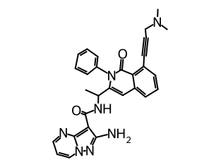 CC(NC(=O)c1c(N)nn2cccnc12)c1cc2cccc(C#CCN(C)C)c2c(=O)n1-c1ccccc1